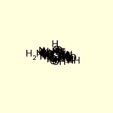 Nc1ncnc2c1ncn2[C@@H]1O[C@@H]2CNS(=O)(=O)O[C@H]3[C@@H](F)[C@H](n4cnc5c(=O)[nH]cnc54)O[C@@H]3COP(=O)(O)O[C@H]2[C@H]1F